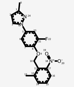 Cc1ccn(-c2ccc(OCc3c(C)cccc3[N+](=O)[O-])c(F)c2)n1